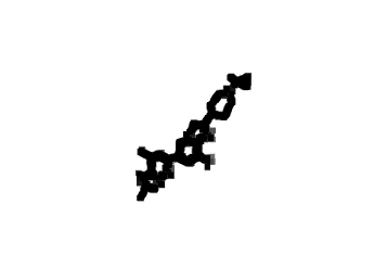 Cc1cn2nc(-c3cc(F)c4nc(C5CCN(C6(C)CC6)CC5)cn4c3)cc(C)c2n1